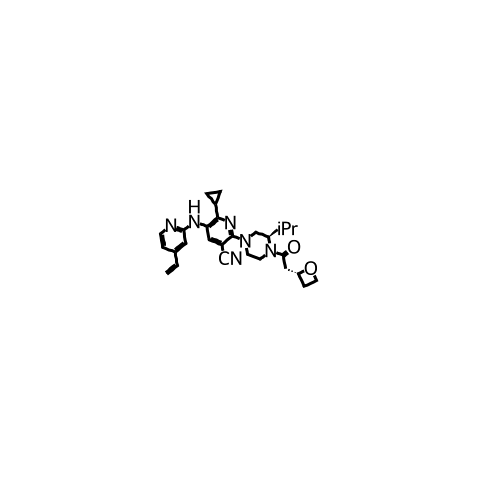 C=Cc1ccnc(Nc2cc(C#N)c(N3CCN(C(=O)C[C@H]4CCO4)[C@H](C(C)C)C3)nc2C2CC2)c1